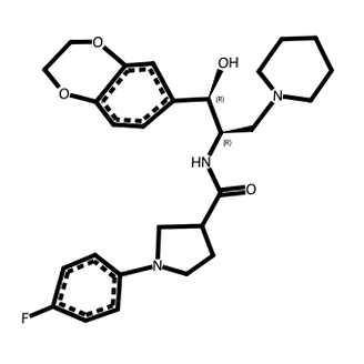 O=C(N[C@H](CN1CCCCC1)[C@H](O)c1ccc2c(c1)OCCO2)C1CCN(c2ccc(F)cc2)C1